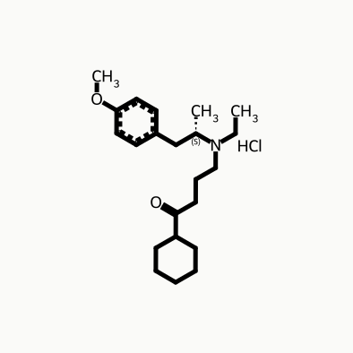 CCN(CCCC(=O)C1CCCCC1)[C@@H](C)Cc1ccc(OC)cc1.Cl